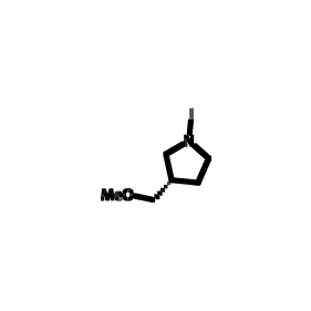 COC[C@H]1CCN(I)C1